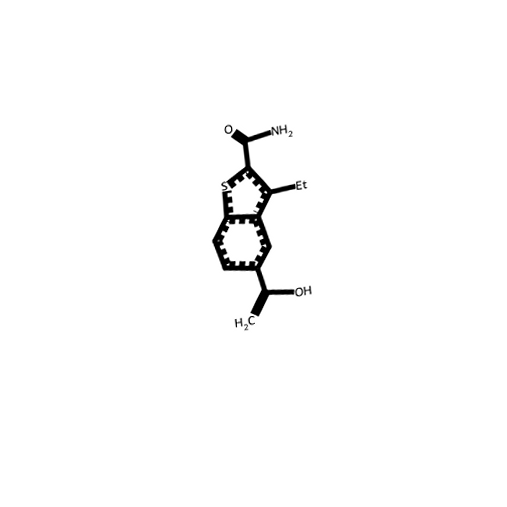 C=C(O)c1ccc2sc(C(N)=O)c(CC)c2c1